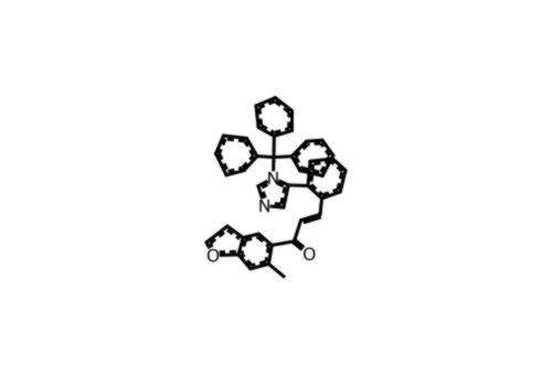 Cc1cc2occc2cc1C(=O)C=Cc1ccccc1-c1cncn1C(c1ccccc1)(c1ccccc1)c1ccccc1